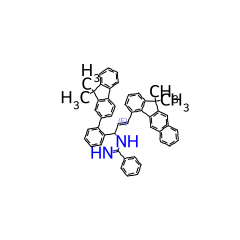 CC1(C)c2ccccc2-c2ccc(-c3ccccc3C(/C=C/c3cccc4c3-c3cc5ccccc5cc3C4(C)C)NC(=N)c3ccccc3)cc21